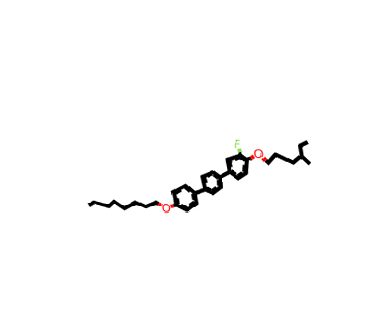 CCCCCCCCOc1ccc(-c2ccc(-c3ccc(OCCCC(C)CC)c(F)c3)cc2)cc1